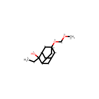 CCC1(O)C2CC3CC1CC(OCOC)(C3)C2